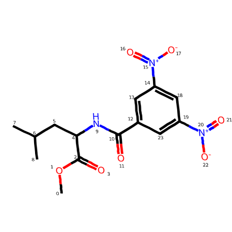 COC(=O)C(CC(C)C)NC(=O)c1cc([N+](=O)[O-])cc([N+](=O)[O-])c1